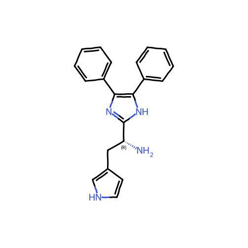 N[C@H](Cc1cc[nH]c1)c1nc(-c2ccccc2)c(-c2ccccc2)[nH]1